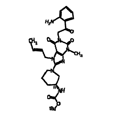 CC=CCn1c(N2CCC[C@H](NC(=O)OC(C)(C)C)C2)nc2c1c(=O)n(CC(=O)c1ccccc1N)c(=O)n2C